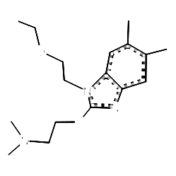 CCOCCn1c(SCCN(C)C)nc2cc(C)c(C)cc21